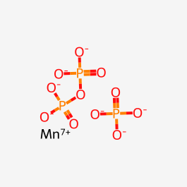 O=P([O-])([O-])OP(=O)([O-])[O-].O=P([O-])([O-])[O-].[Mn+7]